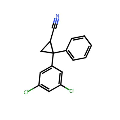 N#CC1CC1(c1ccccc1)c1cc(Cl)cc(Cl)c1